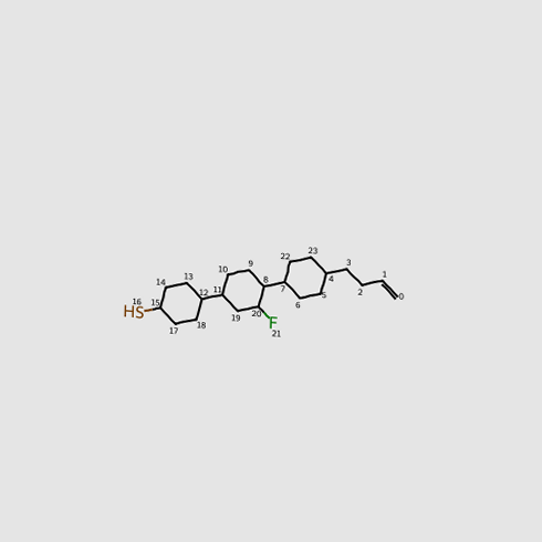 C=CCCC1CCC(C2CCC(C3CCC(S)CC3)CC2F)CC1